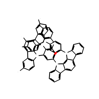 CC(C)(C)c1ccc2c(c1)B1c3c(cc(-n4c5ccccc5c5ccc6c7ccccc7n(-c7ccc(-n8c9ccc(C(C)(C)C)cc9c9cc(C(C)(C)C)ccc98)cc7)c6c54)cc3-n3c4ccc(C(C)(C)C)cc4c4cc(C(C)(C)C)cc1c43)O2